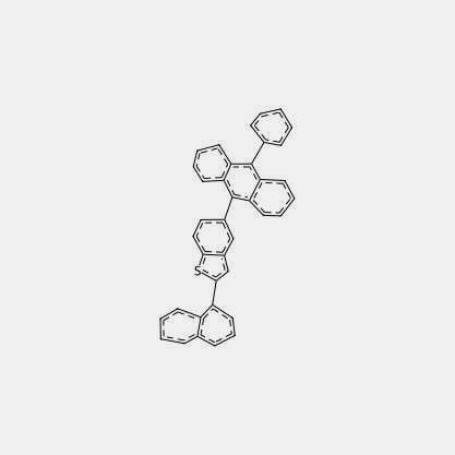 c1ccc(-c2c3ccccc3c(-c3ccc4sc(-c5cccc6ccccc56)cc4c3)c3ccccc23)cc1